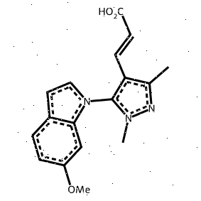 COc1ccc2ccn(-c3c(/C=C/C(=O)O)c(C)nn3C)c2c1